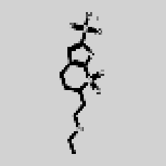 CCNCCC1CCc2cc(S(N)(=O)=O)sc2S1(=O)=O